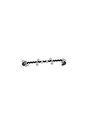 O=C(CCOCCCOCCC(=O)NCCCCCCCC(=O)ON1C(=O)CCC1O)NCCCCCCCC(=O)ON1C(=O)CCC1=O